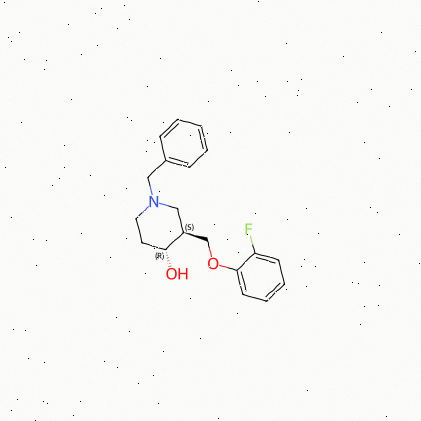 O[C@@H]1CCN(Cc2ccccc2)C[C@H]1COc1ccccc1F